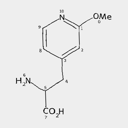 COc1cc(CC(N)C(=O)O)ccn1